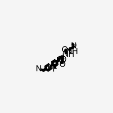 CN(C)CCNC(=O)NC[C@H]1CN(c2ccc(N3CCC(=CC#N)CC3)c(F)c2)C(=O)O1